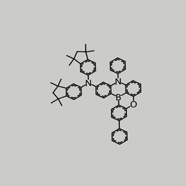 CC1(C)CC(C)(C)c2cc(N(c3ccc4c(c3)N(c3ccccc3)c3cccc5c3B4c3ccc(-c4ccccc4)cc3O5)c3ccc4c(c3)C(C)(C)CC4(C)C)ccc21